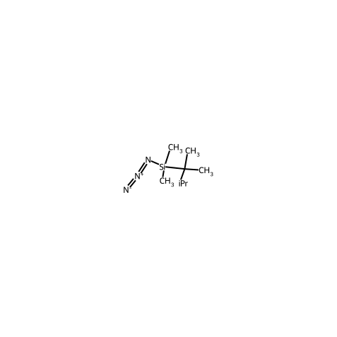 CC(C)C(C)(C)[Si](C)(C)N=[N+]=[N-]